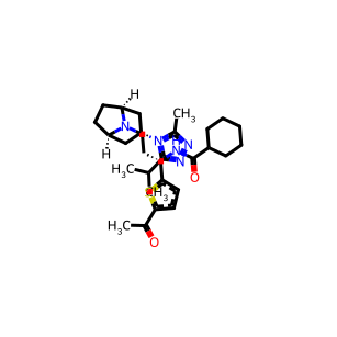 CC(=O)c1ccc([C@H](CCN2[C@@H]3CC[C@H]2C[C@H](n2c(C)nnc2C(C)C)C3)NC(=O)C2CCCCC2)s1